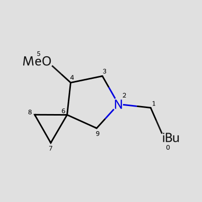 CCC(C)CN1CC(OC)C2(CC2)C1